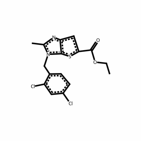 CCOC(=O)c1cc2nc(C)n(Cc3ccc(Cl)cc3Cl)c2s1